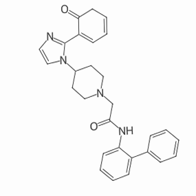 O=C(CN1CCC(n2ccnc2C2=CC=CCC2=O)CC1)Nc1ccccc1-c1ccccc1